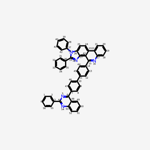 c1ccc(-c2nc(-c3ccc(-c4ccc(-c5nc6ccccc6c6ccc7c(nc(-c8ccccc8)n7-c7ccccc7)c56)cc4)cc3)c3ccccc3n2)cc1